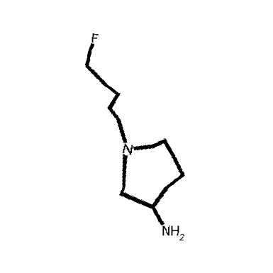 NC1CCN(CCCF)C1